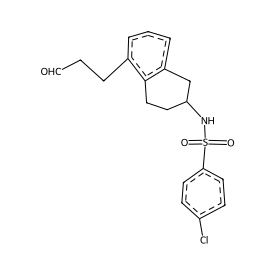 O=CCCc1cccc2c1CCC(NS(=O)(=O)c1ccc(Cl)cc1)C2